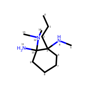 CCCC1(NC)CCCCC1(N)N(C)C